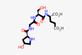 O=C(O)CC[C@H](NC(=O)[C@H](CO)NC(=O)CNC(=O)[C@@H]1C[C@@H](O)CN1)C(=O)O